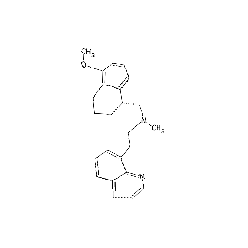 COc1cccc2c1CCC[C@H]2CN(C)CCc1cccc2cccnc12